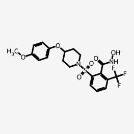 COc1ccc(OC2CCN(S(=O)(=O)c3cccc(C(F)(F)F)c3C(=O)NO)CC2)cc1